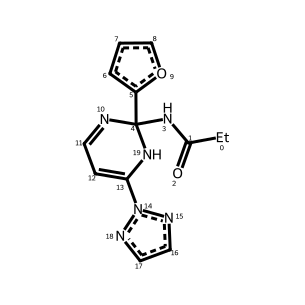 CCC(=O)NC1(c2ccco2)N=CC=C(n2nccn2)N1